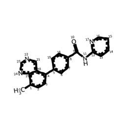 Cc1ccc(-c2ccc(C(=O)Nc3ccccn3)cc2)c2cncnc12